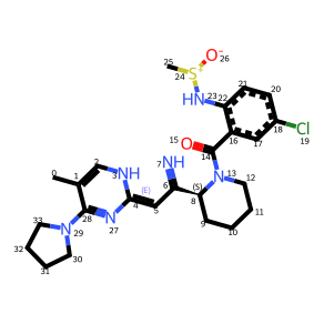 CC1=CN/C(=C\C(=N)[C@@H]2CCCCN2C(=O)c2cc(Cl)ccc2N[S+](C)[O-])N=C1N1CCCC1